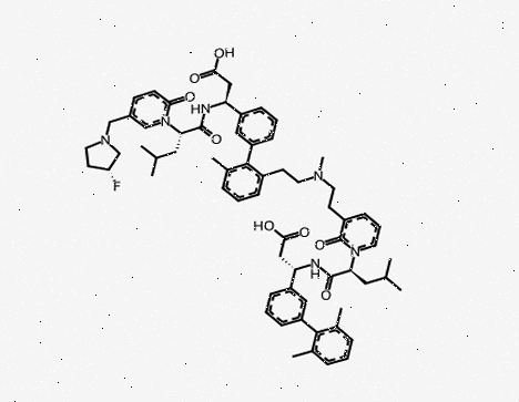 Cc1cccc(C)c1-c1cccc([C@H](CC(=O)O)NC(=O)[C@H](CC(C)C)n2cccc(CCN(C)CCc3cccc(C)c3-c3cccc([C@H](CC(=O)O)NC(=O)[C@H](CC(C)C)n4cc(CN5CC[C@@H](F)C5)ccc4=O)c3)c2=O)c1